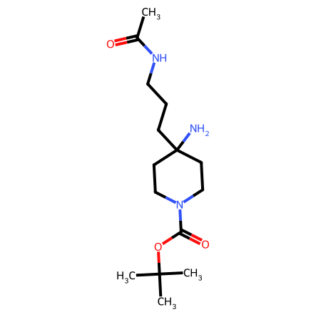 CC(=O)NCCCC1(N)CCN(C(=O)OC(C)(C)C)CC1